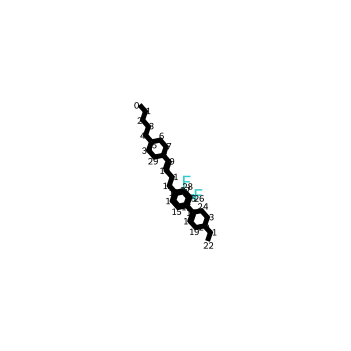 CCCCCC1CCC(/C=C/CCc2ccc(C3=CCC(CC)CC3)c(F)c2F)CC1